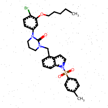 CCCCCOc1cc(N2CCCN(Cc3cccc4c3ccn4S(=O)(=O)c3ccc(C)cc3)C2=O)ccc1Br